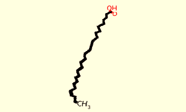 CCC/C=C\CCCCCCCCCCCCCCCCCCCCC(=O)O